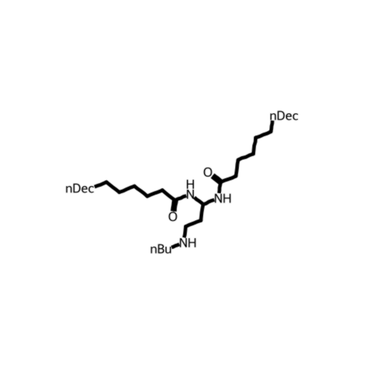 CCCCCCCCCCCCCCCC(=O)NC(CCNCCCC)NC(=O)CCCCCCCCCCCCCCC